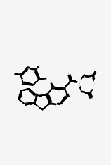 CCc1cc(O)c(Oc2c(C(=O)N3CC(=O)NC(=O)C3)ccc3c2-c2ccccc2C3)cc1F